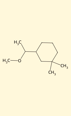 COC(C)C1CCCC(C)(C)C1